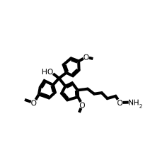 COc1ccc(C(O)(c2ccc(OC)cc2)c2ccc(OC)c(CCCCCON)c2)cc1